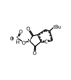 CC(C)(C)c1ccc2c(c1)C(=O)N(O[SH](=O)=O)C2=O